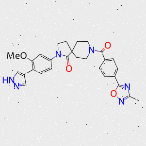 COc1cc(N2CCC3(CCN(C(=O)c4ccc(-c5nc(C)no5)cc4)CC3)C2=O)ccc1-c1cn[nH]c1